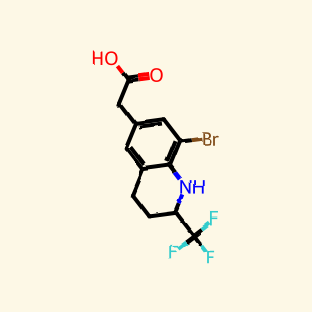 O=C(O)Cc1cc(Br)c2c(c1)CCC(C(F)(F)F)N2